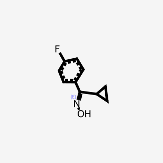 O/N=C(/c1ccc(F)cc1)C1CC1